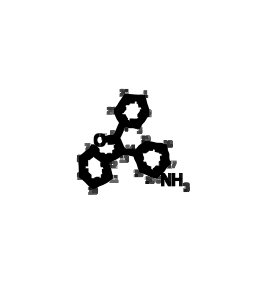 N.c1ccc(-c2oc3ccccc3c2-c2ccccc2)cc1